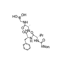 CCCCCCCCCC(=O)N[C@H](C(=O)N[C@@H](Cc1ccccc1)C(=O)N[C@@H](C)C(=O)NCB(O)O)C(C)C